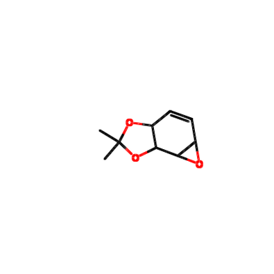 CC1(C)OC2C=CC3OC3C2O1